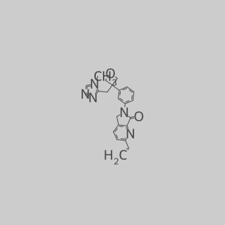 C=Cc1ccc2c(n1)C(=O)N(c1cccc(C3(Cc4nncn4C)COC3)c1)C2